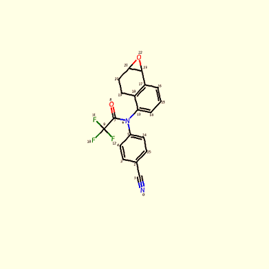 N#Cc1ccc(N(C(=O)C(F)(F)F)c2cccc3c2CCC2OC32)cc1